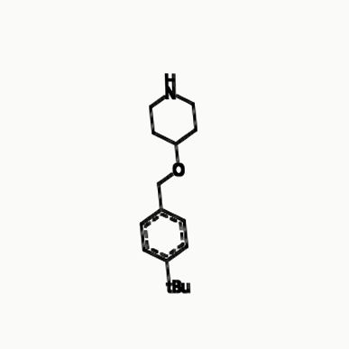 CC(C)(C)c1ccc(COC2CCNCC2)cc1